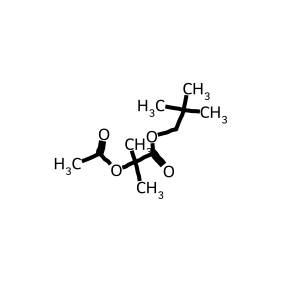 CC(=O)OC(C)(C)C(=O)OCC(C)(C)C